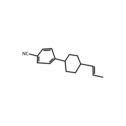 CC=CC1CCC(c2ccc(C#N)cc2)CC1